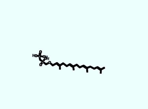 CC(C)=CCC/C(C)=C/CC/C(C)=C/CC/C(C)=C/COCP(=O)(O)CP(=O)(O)O